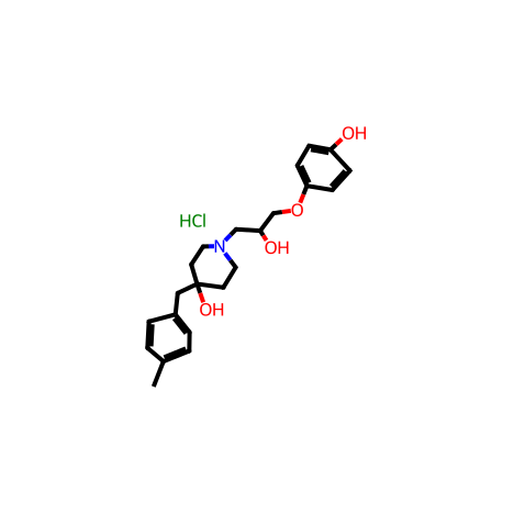 Cc1ccc(CC2(O)CCN(CC(O)COc3ccc(O)cc3)CC2)cc1.Cl